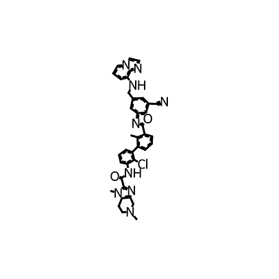 Cc1c(-c2nc3cc(CNc4cccn5ccnc45)cc(C#N)c3o2)cccc1-c1cccc(NC(=O)c2nc3c(n2C)CCN(C)C3)c1Cl